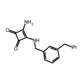 CC(C)Cc1cccc(CNc2c(N)c(=O)c2=O)c1